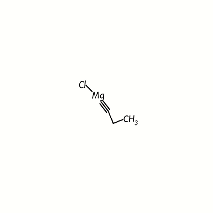 CCC#[C][Mg][Cl]